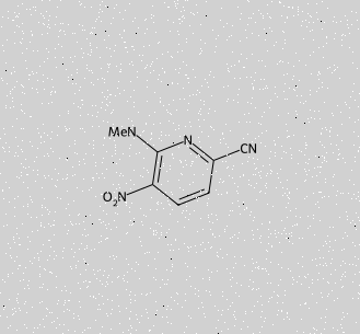 CNc1nc(C#N)ccc1[N+](=O)[O-]